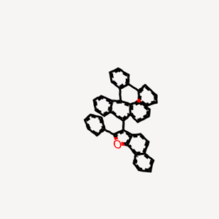 c1ccc(-c2ccccc2-c2c3ccccc3c(-c3c(-c4ccccc4)oc4c3ccc3ccccc34)c3ccccc23)cc1